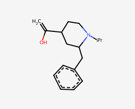 C=C(O)C1CCN(C(C)C)C(Cc2ccccc2)C1